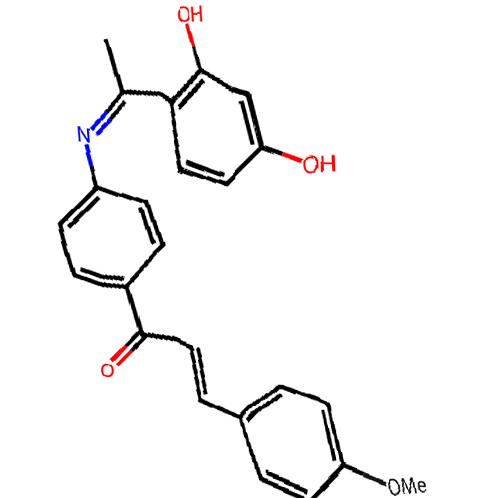 COc1ccc(C=CC(=O)c2ccc(N=C(C)c3ccc(O)cc3O)cc2)cc1